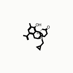 C=C(C)c1cc(C)c(O)c2c1CC1C3CCC(=O)C[C@@]23CCN1CC1CC1